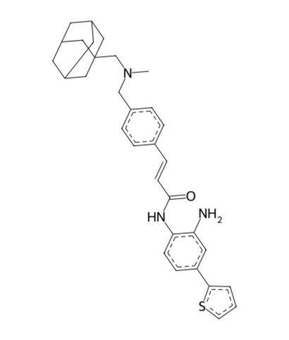 CN(Cc1ccc(/C=C/C(=O)Nc2ccc(-c3cccs3)cc2N)cc1)CC12CC3CC(CC(C3)C1)C2